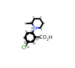 CC1CCCCN1c1ccc(Cl)cc1C(=O)O